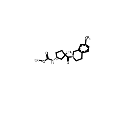 CC(C)(C)OC(=O)N[C@@H]1CCC(C)(C(=O)N2CCc3ccc(C(F)(F)F)cc3C2)C1